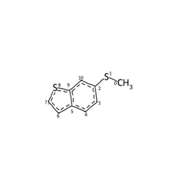 CSc1ccc2c[c]sc2c1